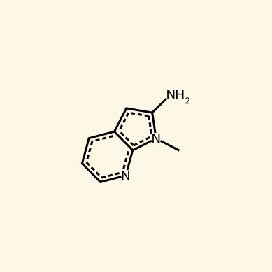 Cn1c(N)cc2cccnc21